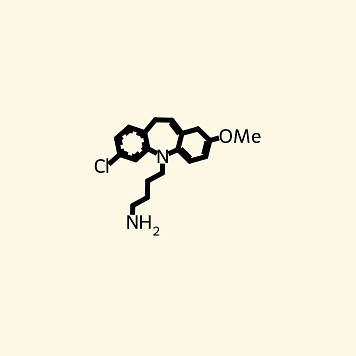 COC1=CC=C2C(=CCc3ccc(Cl)cc3N2CCCCN)C1